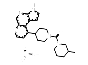 CC1CCCN(C(=O)N2CCC(c3ccnc4cnc5[nH]ccc5c34)CC2)C1.N[SH](=O)=O